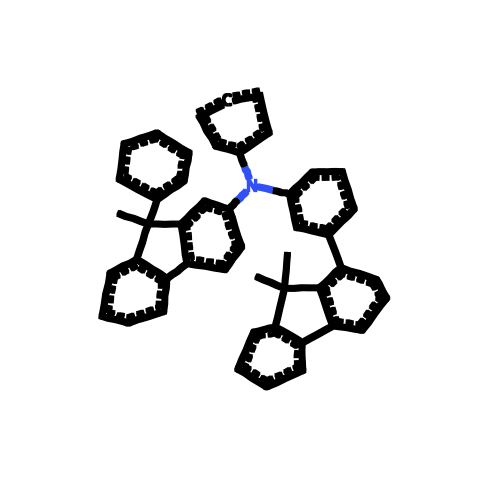 CC1(C)c2ccccc2-c2cccc(-c3cccc(N(c4ccccc4)c4ccc5c(c4)C(C)(c4ccccc4)c4ccccc4-5)c3)c21